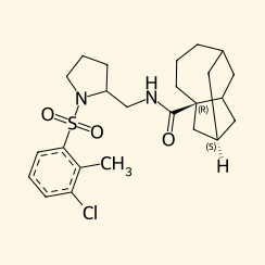 Cc1c(Cl)cccc1S(=O)(=O)N1CCCC1CNC(=O)[C@@]12CCCC3CC1C[C@H](C3)C2